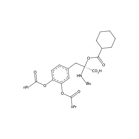 CCCC(=O)Oc1ccc(C[C@](NC(C)CC)(OC(=O)C2CCCCC2)C(=O)O)cc1OC(=O)CCC